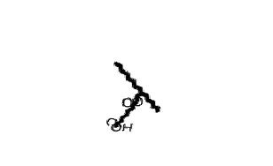 CCCCCCCCC(CCCCCC)COC(=O)CCCCCC(=O)O